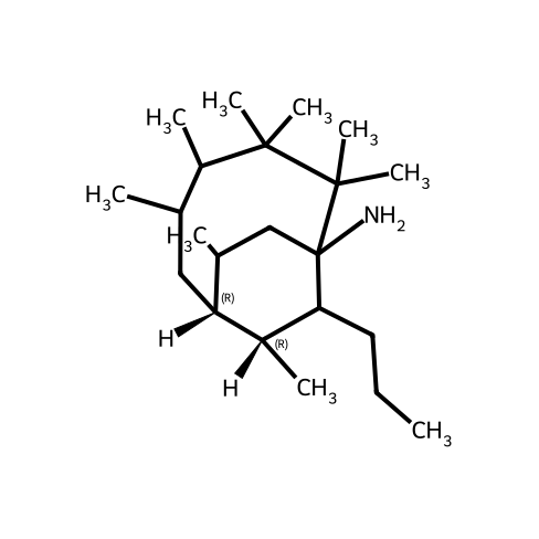 CCCC1[C@H](C)[C@@H]2CC(C)C(C)C(C)(C)C(C)(C)C1(N)CC2C